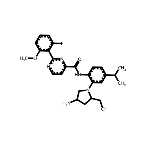 COc1cccc(F)c1-c1nccc(C(=O)Nc2ccc(C(C)C)cc2N2CC(N)CC2CO)n1